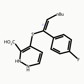 CCCC/C=C(/SC1=C(C(=O)O)NNC=C1)c1ccc(F)cc1